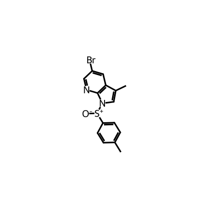 Cc1ccc([S+]([O-])n2cc(C)c3cc(Br)cnc32)cc1